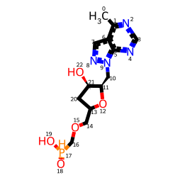 Cc1ncnc2c1cnn2C[C@H]1OC(COC[PH](=O)O)C[C@H]1O